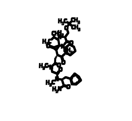 CC(C)CC1(N(C)C(=O)[C@@H](N)COC(C)(C)C)C(=O)C1[C@@H](CC(=O)N(C)CC(=O)N(C)[C@@H](Cc1ccccc1)C(N)=O)C(=O)N1CCCCC1